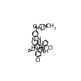 CN1CCN(C(=O)c2ccc3c(c2)nc2n3CC[C@H]3[C@@H]2[C@H](c2cccc(Cl)c2F)[C@]2(C(=O)Nc4cc(Cl)ccc42)N3CC2CC2)CC1